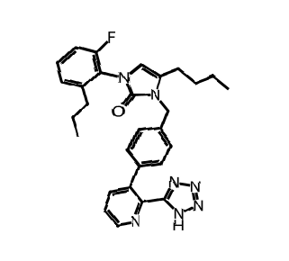 CCCCc1cn(-c2c(F)cccc2CCC)c(=O)n1Cc1ccc(-c2cccnc2-c2nnn[nH]2)cc1